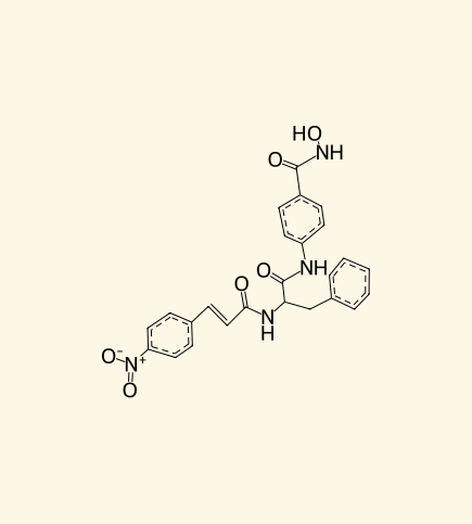 O=C(/C=C/c1ccc([N+](=O)[O-])cc1)NC(Cc1ccccc1)C(=O)Nc1ccc(C(=O)NO)cc1